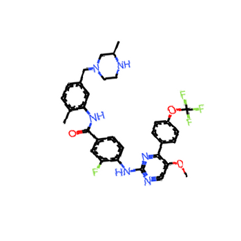 COc1cnc(Nc2ccc(C(=O)Nc3cc(CN4CCNC(C)C4)ccc3C)cc2F)nc1-c1ccc(OC(F)(F)F)cc1